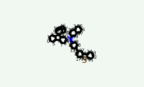 c1ccc2c(c1)-c1ccc(N(c3ccc(-c4ccc5sc6ccccc6c5c4)cc3)c3ccc4ccccc4c3)cc1C21C2CC3CC(C2)CC1C3